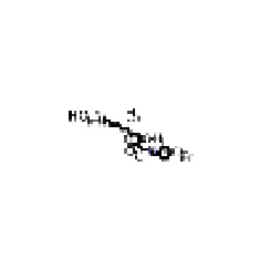 C/C(=C\c1ccc(OC(C)C)cc1)C(=O)c1c(O)cc(C(C)CCC=CNC(=O)O)oc1=O